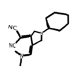 CN(C)/C=C1/CN(C2CCCCC2)CC1=C(C#N)C#N